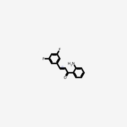 Nc1ccccc1C(=O)/C=C/c1cc(F)cc(F)c1